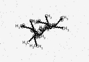 CCCCCCCC(OC(=O)c1ccc(C(=O)OC(C)COCC(COCC(C)OC(=O)c2ccc(C(=O)OC(CCCCCCC)C(O)CCCCCCC(=O)OC)cc2C(=O)OC(CCCCCCC)C(O)CCCCCCC(C)C)OCC(C)O)c(C(=O)OC(CCCCCCC)C(O)CCCCCCC(=O)OC)c1)C(O)CCCCCCC(=O)OC